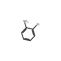 [C]Cc1ccccc1[N+](=O)[O-]